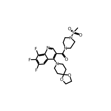 CS(=O)(=O)N1CCN(C(=O)c2cnc3c(F)c(F)c(F)cc3c2N2CCC3(CC2)OCCO3)CC1